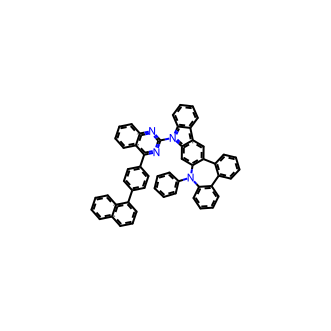 c1ccc(N2c3ccccc3-c3ccccc3-c3cc4c5ccccc5n(-c5nc(-c6ccc(-c7cccc8ccccc78)cc6)c6ccccc6n5)c4cc32)cc1